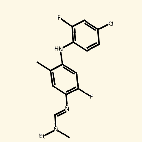 CCN(C)C=Nc1cc(C)c(Nc2ccc(Cl)cc2F)cc1F